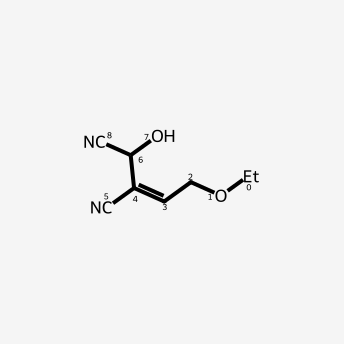 CCOCC=C(C#N)C(O)C#N